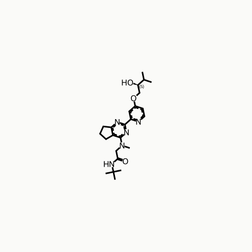 CC(C)[C@H](O)COc1ccnc(-c2nc3c(c(N(C)CC(=O)NC(C)(C)C)n2)CCC3)c1